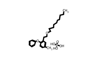 CCCCCCCCCCOCCc1cc(C)ccc1Oc1ccccc1.O=P(O)(O)O